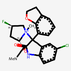 CNC(=O)[C@@H]1C[C@@H](F)C[N+]1(C)C1(c2cccc3c2OCC3)C(=O)Nc2ccc(Cl)cc21